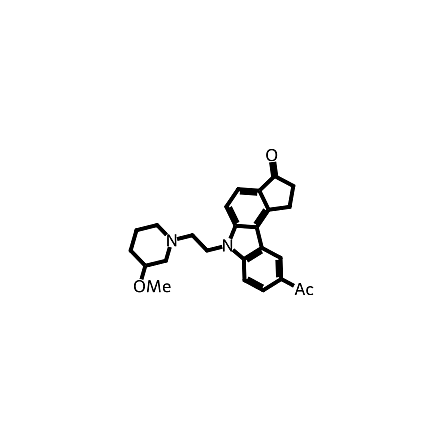 COC1CCCN(CCn2c3ccc(C(C)=O)cc3c3c4c(ccc32)C(=O)CC4)C1